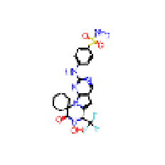 NS(=O)(=O)c1ccc(Nc2ncc3cc4n(c3n2)C2(CCCCC2)C(=O)N(O)C4C(F)(F)F)cc1